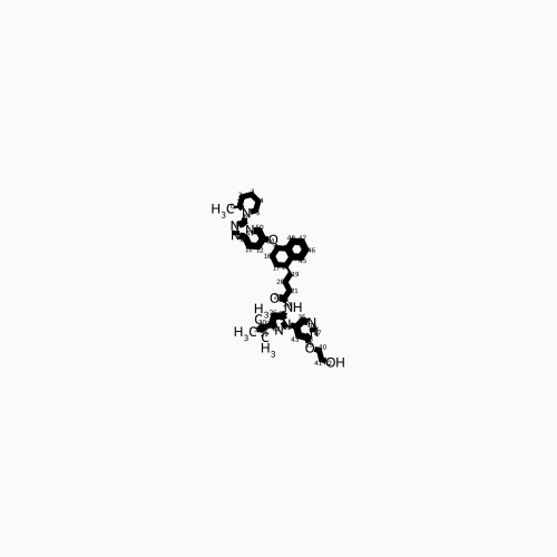 C[C@H]1CCCCN1c1nnc2ccc(O[C@@H]3CC[C@H](CCCC(=O)Nc4cc(C(C)(C)C)nn4-c4cnnc(OCCO)c4)c4ccccc43)cn12